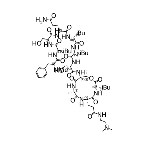 CC[C@H](C)[C@H](NC(=O)[C@@H](Cc1ccccc1)NC)C(=O)N[C@@H](CO)C(=O)N[C@H](CCC(N)=O)C(=O)N[C@@H](C(=O)N[C@H](C(=O)N[C@@H](CO)C(=O)N[C@H]1C(=O)N[C@@H](C)C(=O)N[C@@H](CCC(=O)NCCN(C)C)C(=O)N[C@@H]([C@@H](C)CC)C(=O)O[C@H]1C)[C@@H](C)CC)[C@@H](C)CC